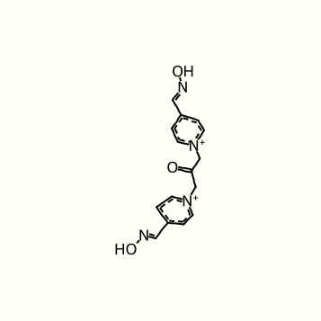 O=C(C[n+]1ccc(C=NO)cc1)C[n+]1ccc(C=NO)cc1